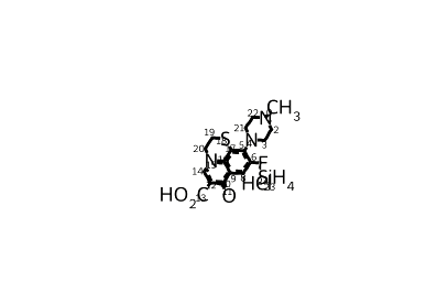 CN1CCN(c2c(F)cc3c(=O)c(C(=O)O)cn4c3c2SCC4)CC1.Cl.[SiH4]